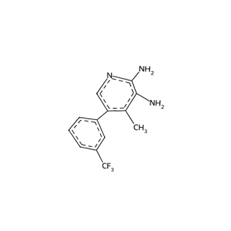 Cc1c(-c2cccc(C(F)(F)F)c2)cnc(N)c1N